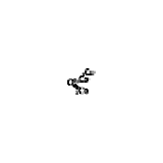 [Co].[Cu].[O]=[Co]